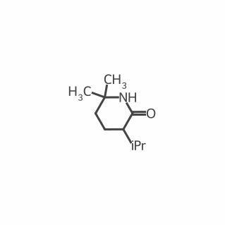 CC(C)C1CCC(C)(C)NC1=O